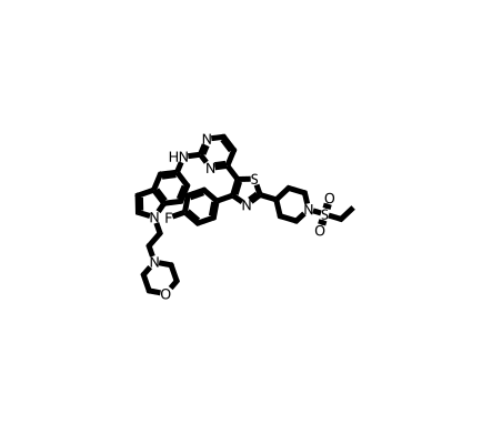 CCS(=O)(=O)N1CCC(c2nc(-c3ccc(F)cc3)c(-c3ccnc(Nc4ccc5c(ccn5CCN5CCOCC5)c4)n3)s2)CC1